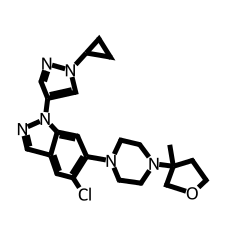 CC1(N2CCN(c3cc4c(cnn4-c4cnn(C5CC5)c4)cc3Cl)CC2)CCOC1